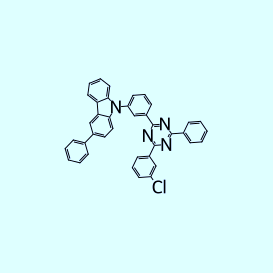 Clc1cccc(-c2nc(-c3ccccc3)nc(-c3cccc(-n4c5ccccc5c5cc(-c6ccccc6)ccc54)c3)n2)c1